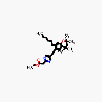 CCCCCCc1cc2c(cc1C#Cc1cnc(CC(=O)OCC)nc1)C(C)(C)CC(C)(C)O2